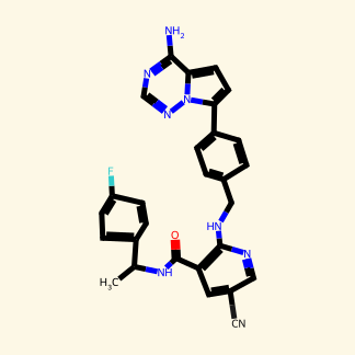 CC(NC(=O)c1cc(C#N)cnc1NCc1ccc(-c2ccc3c(N)ncnn23)cc1)c1ccc(F)cc1